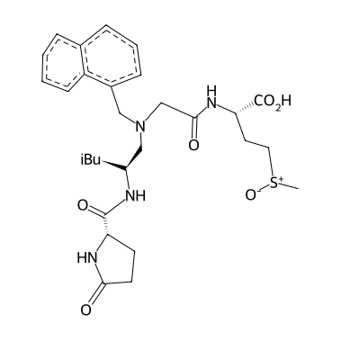 CC[C@H](C)[C@@H](CN(CC(=O)N[C@@H](CC[S+](C)[O-])C(=O)O)Cc1cccc2ccccc12)NC(=O)[C@@H]1CCC(=O)N1